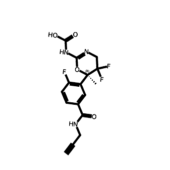 C#CCNC(=O)c1ccc(F)c([C@@]2(C)OC(NC(=O)O)=NCC2(F)F)c1